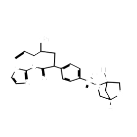 C=CCC(CCC)CC(C(=O)Nc1nccs1)c1ccc(S(=O)(=O)N2C[C@@H]3C[C@H]2CO3)cc1